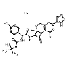 CC(C)(C)OC(=O)NC(C(=O)N[C@@H]1C(=O)N2C(C(=O)[O-])=C(CSc3cnn[nH]3)CS[C@@H]12)c1ccc(O)cc1.[Na+]